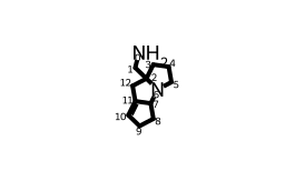 NCC12CCCN1C1CCC=C1C2